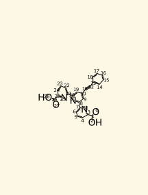 O=C(O)c1cccc(-c2cc(C#Cc3ccccc3)cc(-c3cccc(C(=O)O)n3)n2)n1